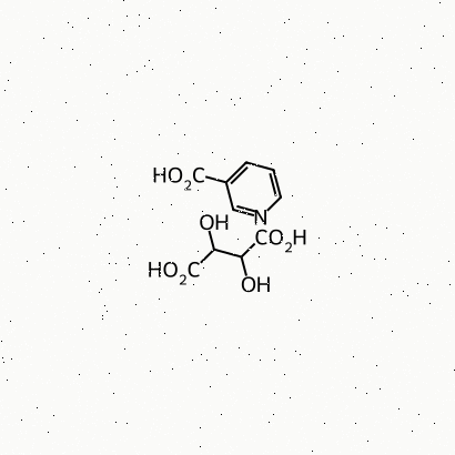 O=C(O)C(O)C(O)C(=O)O.O=C(O)c1cccnc1